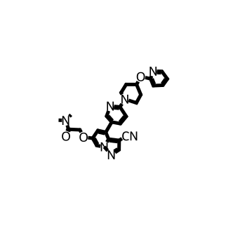 CN(C)C(=O)COc1cc(-c2ccc(N3CCC(Oc4ccccn4)CC3)nc2)c2c(C#N)cnn2c1